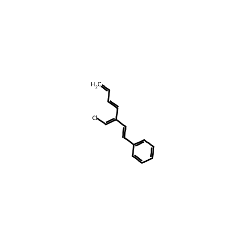 C=CC=CC(C=Cc1ccccc1)=CCl